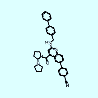 N#Cc1ccc(-c2ccc3nc(NCc4ccc(-c5ccccc5)cc4)cc(C(=O)N4CCCC4N4CCCC4)c3c2)cc1